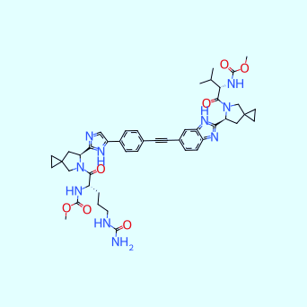 COC(=O)N[C@@H](CCCNC(N)=O)C(=O)N1CC2(CC2)C[C@H]1c1ncc(-c2ccc(C#Cc3ccc4nc([C@@H]5CC6(CC6)CN5C(=O)[C@@H](NC(=O)OC)C(C)C)[nH]c4c3)cc2)[nH]1